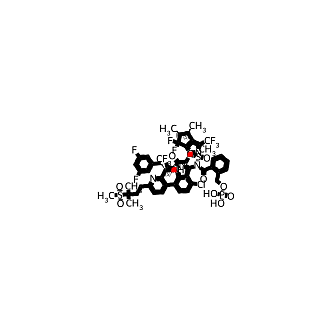 C[C@@H]1c2c(C(F)(F)F)nn(CC(=O)N[C@@H](Cc3cc(F)cc(F)c3)c3nc(CCC(C)(C)S(C)(=O)=O)ccc3-c3ccc(Cl)c4c(N(C(=O)c5ccccc5COP(=O)(O)O)S(C)(=O)=O)nn(CC(F)(F)F)c34)c2C(F)(F)[C@@H]1C